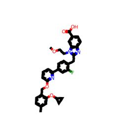 COCCn1c(Cc2ccc(-c3cccc(OCc4ccc(C)cc4OC4CC4)n3)cc2F)nc2ccc(C(=O)O)cc21